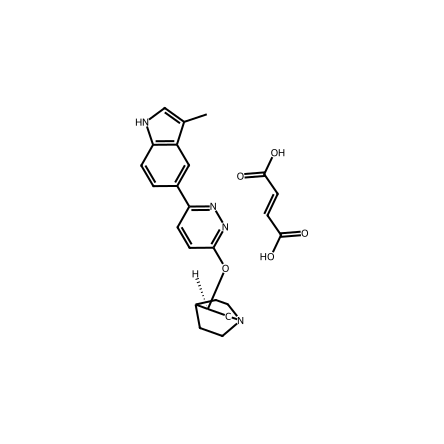 Cc1c[nH]c2ccc(-c3ccc(O[C@H]4CN5CCC4CC5)nn3)cc12.O=C(O)/C=C/C(=O)O